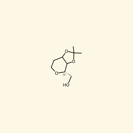 CC1(C)OC2CCO[C@@H](CO)C2O1